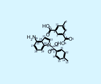 Cc1cc(C(=O)O)cc(C(=O)O)c1.Cc1ccc(S(=O)(=O)n2ccc3c(N)cccc32)cc1